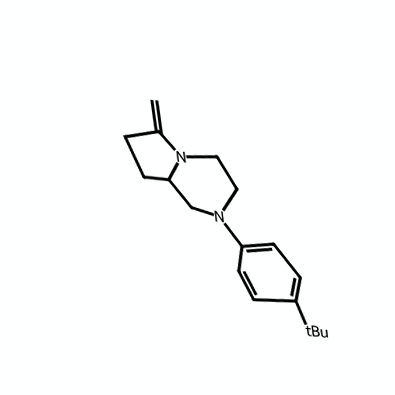 C=C1CCC2CN(c3ccc(C(C)(C)C)cc3)CCN12